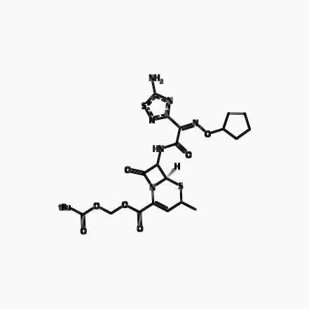 CC1C=C(C(=O)OCOC(=O)C(C)(C)C)N2C(=O)C(NC(=O)/C(=N\OC3CCCC3)c3nsc(N)n3)[C@H]2S1